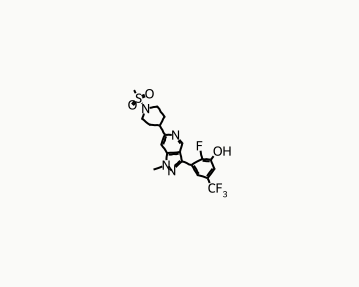 Cn1nc(-c2cc(C(F)(F)F)cc(O)c2F)c2cnc(C3CCN(S(C)(=O)=O)CC3)cc21